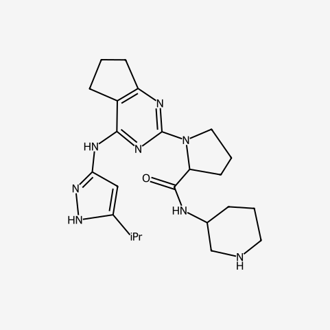 CC(C)c1cc(Nc2nc(N3CCCC3C(=O)NC3CCCNC3)nc3c2CCC3)n[nH]1